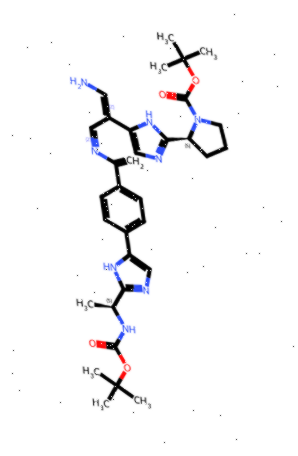 C=C(/N=C\C(=C/N)c1cnc([C@@H]2CCCN2C(=O)OC(C)(C)C)[nH]1)c1ccc(-c2cnc([C@H](C)NC(=O)OC(C)(C)C)[nH]2)cc1